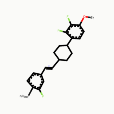 CCCCCc1ccc(/C=C/C2CCC(c3ccc(OCC)c(F)c3F)CC2)cc1F